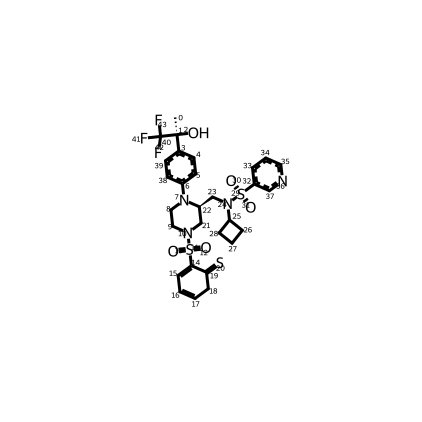 C[C@](O)(c1ccc(N2CCN(S(=O)(=O)C3=CC=CCC3=S)C[C@@H]2CN(C2CCC2)S(=O)(=O)c2cccnc2)cc1)C(F)(F)F